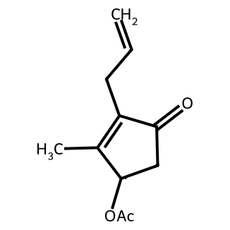 C=CCC1=C(C)[C](OC(C)=O)CC1=O